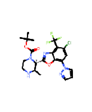 CC1NCCN(C(=O)OC(C)(C)C)[C@@H]1c1nc2c(C(F)(F)F)c(Cl)cc(-n3cccn3)c2o1